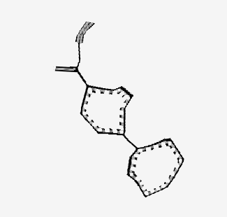 C#CC(=O)c1ccc(-c2ccccc2)cc1